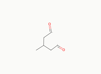 CC(C[C]=O)C[C]=O